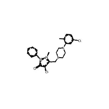 Cc1ccc(Cl)cc1N1CCN(Cc2c(Cl)c(=O)n(-c3ccccc3)n2C)CC1